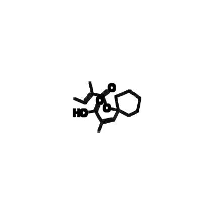 CC=C(C)C(=O)OC1(C=C(C)C(=O)O)CCCCC1